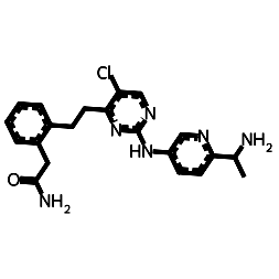 CC(N)c1ccc(Nc2ncc(Cl)c(CCc3ccccc3CC(N)=O)n2)cn1